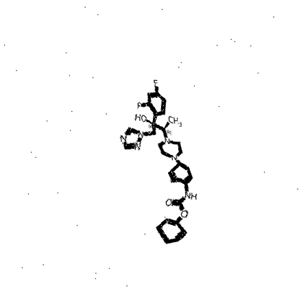 C[C@@H](N1CCN(c2ccc(NC(=O)Oc3ccccc3)cc2)CC1)[C@](O)(Cn1cncn1)c1ccc(F)cc1F